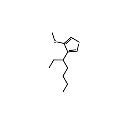 CCCCC(CC)c1cscc1OC